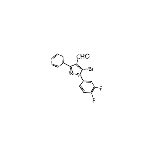 O=Cc1c(-c2ccccc2)nn(-c2ccc(F)c(F)c2)c1Br